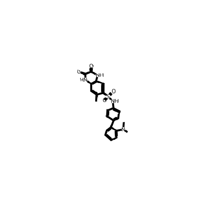 Cc1cc2[nH]c(=O)c(=O)[nH]c2cc1S(=O)(=O)Nc1ccc(-c2ccccc2N(C)C)cc1